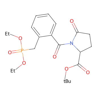 CCOP(=O)(Cc1ccccc1C(=O)N1C(=O)CCC1C(=O)OC(C)(C)C)OCC